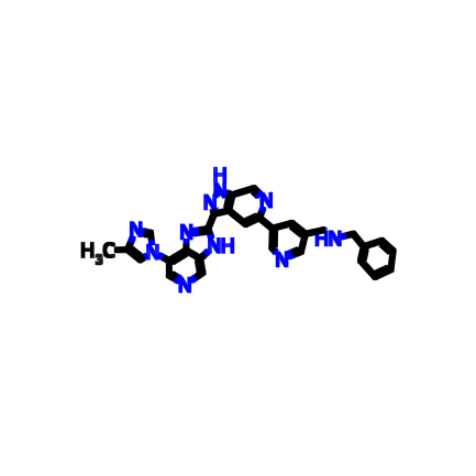 Cc1cn(-c2cncc3[nH]c(-c4n[nH]c5cnc(-c6cncc(CNCc7ccccc7)c6)cc45)nc23)cn1